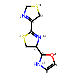 C1=COC(C2CSC(C3=NCSC3)=N2)N1